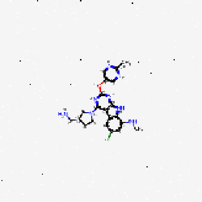 CNc1cc(F)cc2c1[nH]c1nc(Oc3cnc(C)nc3)nc(N3CC[C@@H](CN)C3)c12